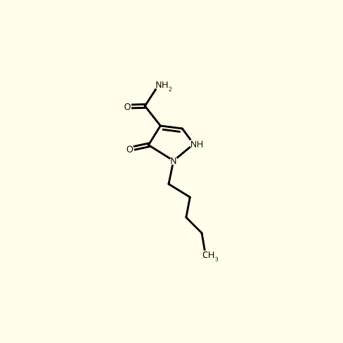 CCCCCn1[nH]cc(C(N)=O)c1=O